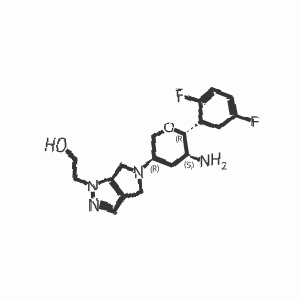 N[C@H]1C[C@@H](N2Cc3cnn(CCO)c3C2)CO[C@@H]1C1CC(F)=CC=C1F